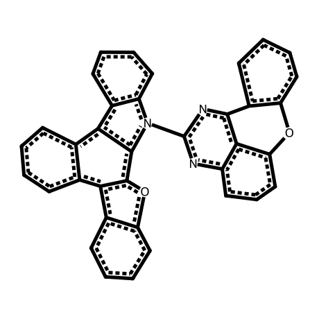 c1ccc2c(c1)Oc1cccc3nc(-n4c5ccccc5c5c6ccccc6c6c7ccccc7oc6c54)nc-2c13